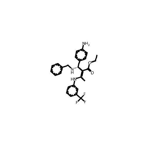 CCOC(=O)/C(=C(\C)Nc1cccc(C(F)(F)F)c1)[C@H](NCc1ccccc1)c1ccc(N)cc1